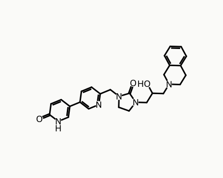 O=C1N(Cc2ccc(-c3ccc(=O)[nH]c3)cn2)CCN1CC(O)CN1CCc2ccccc2C1